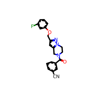 N#Cc1cccc(C(=O)N2CCn3nc(COc4cccc(F)c4)cc3C2)c1